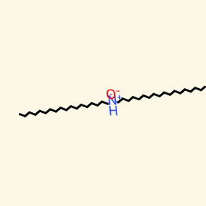 CCCCCCCCCCCCCCCCCC[NH+]([O-])CCCCCCCCCCCCCCCCCC